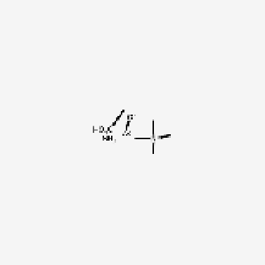 CC(=O)O.CC(=O)[O-].C[N+](C)(C)C.N